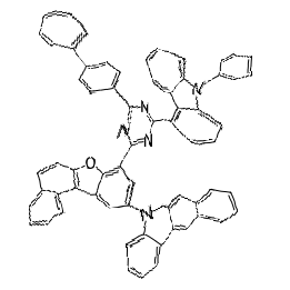 c1ccc(-c2ccc(-c3nc(-c4cc(-n5c6ccccc6c6cc7ccccc7cc65)cc5c4oc4ccc6ccccc6c45)nc(-c4cccc5c4c4ccccc4n5-c4ccccc4)n3)cc2)cc1